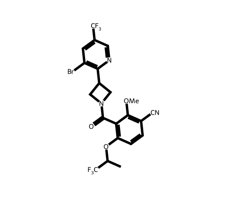 COc1c(C#N)ccc(OC(C)C(F)(F)F)c1C(=O)N1CC(c2ncc(C(F)(F)F)cc2Br)C1